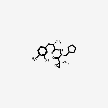 Cc1ccc(C[C@H](C)C(=O)N[C@@H](CC2CCCC2)C(=O)[C@@]2(C)CO2)cc1O